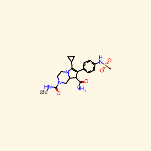 CC(C)(C)NC(=O)N1CCN2C(C3CC3)=C(c3ccc(NS(C)(=O)=O)cc3)C(C(N)=O)C2C1